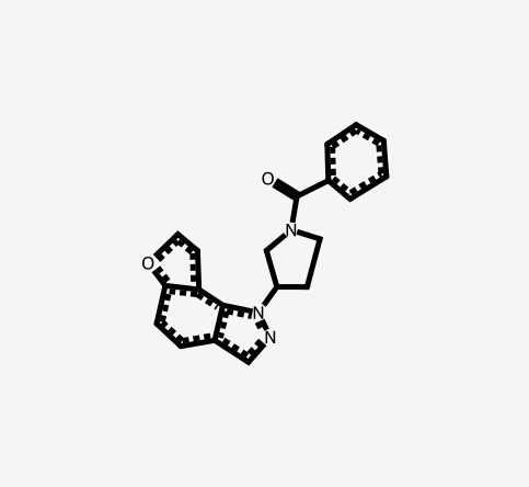 O=C(c1ccccc1)N1CCC(n2ncc3ccc4occc4c32)C1